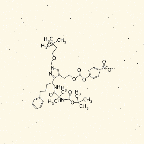 CC(C)(C)OC(=O)NC(C)(C)C(=O)NC(CCCc1ccccc1)c1nn(COCC[Si](C)(C)C)cc1CCOC(=O)Oc1ccc([N+](=O)[O-])cc1